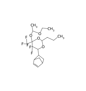 CCCC1OC(C2CC3C=CC2C3)C(F)(F)C(OC(C)OCC)(C(F)(F)F)O1